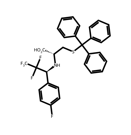 O=C(O)[C@H](CSC(c1ccccc1)(c1ccccc1)c1ccccc1)N[C@@H](c1ccc(F)cc1)C(F)(F)C(F)(F)F